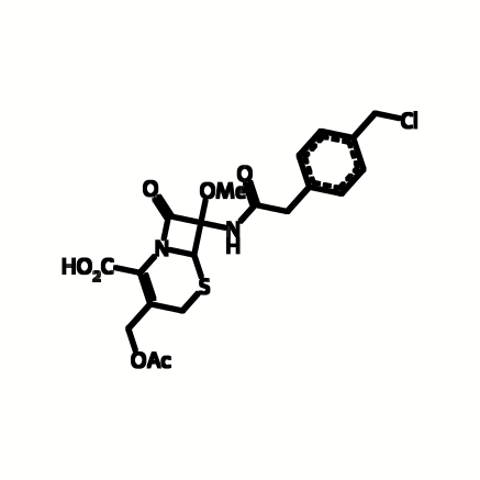 COC1(NC(=O)Cc2ccc(CCl)cc2)C(=O)N2C(C(=O)O)=C(COC(C)=O)CSC21